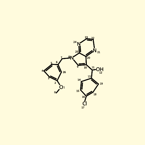 COc1cccc(Cn2cc(C(O)c3ccc(Cl)cc3)c3nccnc32)c1